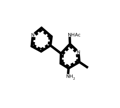 CC(=O)Nc1nc(C)c(N)cc1-c1ccncc1